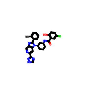 N#Cc1ccccc1-c1nc2cnc(-c3nc[nH]n3)cc2n1[C@@H]1CCC[C@H](NC(=O)c2cc(Cl)ccc2O)C1